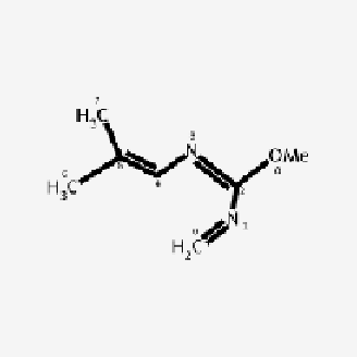 C=N/C(=N\C=C(C)C)OC